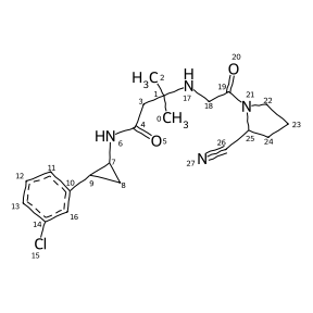 CC(C)(CC(=O)NC1CC1c1cccc(Cl)c1)NCC(=O)N1CCCC1C#N